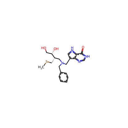 CSC[C@@H](CN(Cc1ccccc1)Cc1c[nH]c2c(=O)[nH]cnc12)[C@@H](O)CO